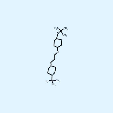 CC(C)(C)OC1CCC(OCCCN2CCN(C(C)(C)C)CC2)CC1